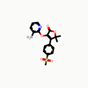 CC1(C)OC(=O)C(Oc2ncccc2[N+](=O)[O-])=C1c1ccc(S(C)(=O)=O)cc1